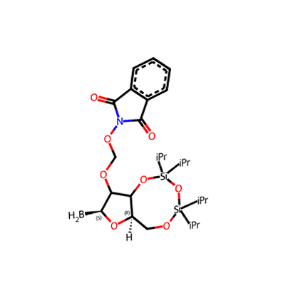 B[C@@H]1O[C@@H]2CO[Si](C(C)C)(C(C)C)O[Si](C(C)C)(C(C)C)OC2C1OCON1C(=O)c2ccccc2C1=O